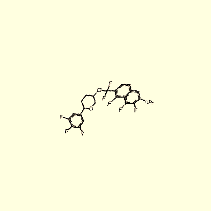 CCCc1cc2ccc(C(F)(F)OC3CCC(c4cc(F)c(F)c(F)c4)OC3)c(F)c2c(F)c1F